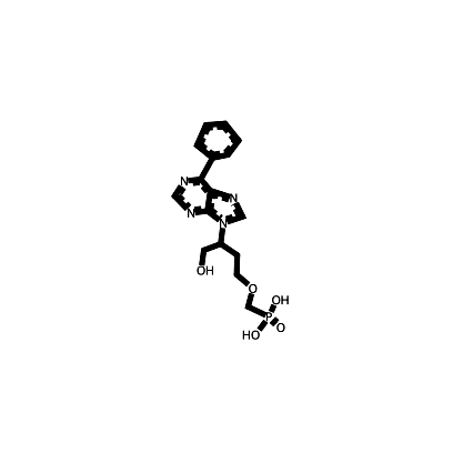 O=P(O)(O)COCCC(CO)n1cnc2c(-c3ccccc3)ncnc21